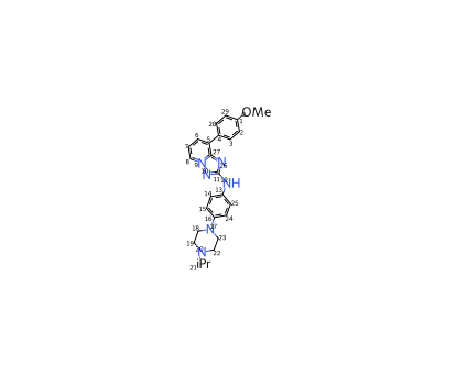 COc1ccc(-c2cccn3nc(Nc4ccc(N5CCN(C(C)C)CC5)cc4)nc23)cc1